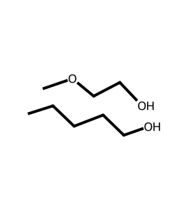 CCCCCO.COCCO